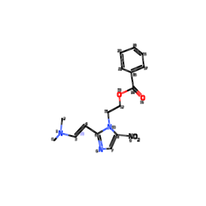 CN(C)/C=C/c1ncc([N+](=O)[O-])n1CCOC(=O)c1ccccc1